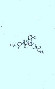 Cc1ccc(NC(=O)OCC2(N(C=O)Cc3ccccc3Cl)CCN(C(=O)CN)CC2)cc1F